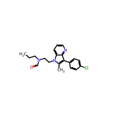 CCCN(C=O)CCn1c(C)c(-c2ccc(Cl)cc2)c2ncccc21